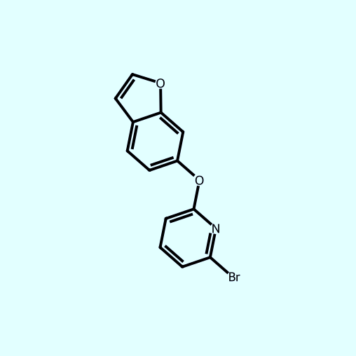 Brc1cccc(Oc2ccc3ccoc3c2)n1